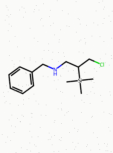 C[Si](C)(C)C(CCl)CNCc1ccccc1